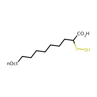 CCCCCCCCCCCCCCCC(SS)C(=O)O